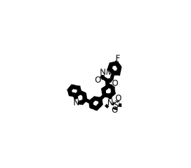 CNC(=O)c1c(-c2ccc(F)cc2)oc2cc(N(C)S(C)(=O)=O)c(-c3cccc(-c4cnc5ccccc5c4)c3)cc12